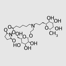 C[C@@H]1O[C@@H](CCCN(CCCCCC(=O)ON2C(=O)CCC2=O)CCO[C@H]2O[C@H](CO)[C@@H](O)[C@H](O)[C@@H]2O)[C@@H](O)[C@H](O)[C@@H]1O